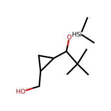 C[SiH](C)OC(C1CC1CO)C(C)(C)C